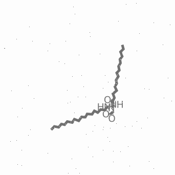 CCCCCCCCCCCCCCCCC(=O)NN(C[C]=O)NC(=O)CCCCCCCCCCCCCCCC